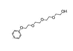 OCCOCCOCCOCCOc1cc[c]cc1